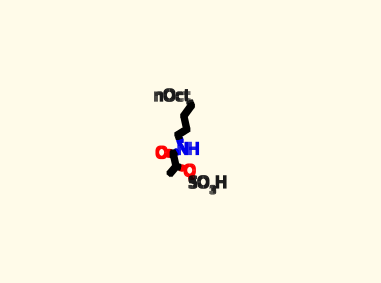 CCCCCCCCCCCCNC(=O)C(C)OS(=O)(=O)O